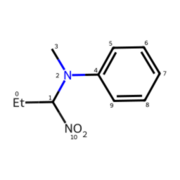 CCC(N(C)c1ccccc1)[N+](=O)[O-]